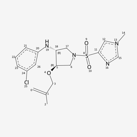 C=C(C)CO[C@@H]1CN(S(=O)(=O)c2cn(C)cn2)C[C@H]1Nc1cccc(Cl)c1